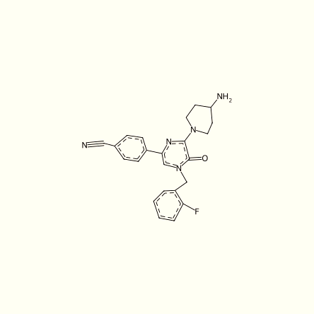 N#Cc1ccc(-c2cn(Cc3ccccc3F)c(=O)c(N3CCC(N)CC3)n2)cc1